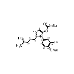 CCCCC(=O)OC1=CSC(CCCC(C)O)N1c1ccc(OC)c(F)c1